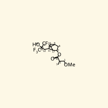 COCC(C)C(=O)OC1CC2CC(CC(O)(C(F)(F)F)C(F)(F)F)C1C2